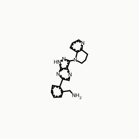 NCc1ccccc1-c1cnc2c(N3CCCc4ncccc43)n[nH]c2n1